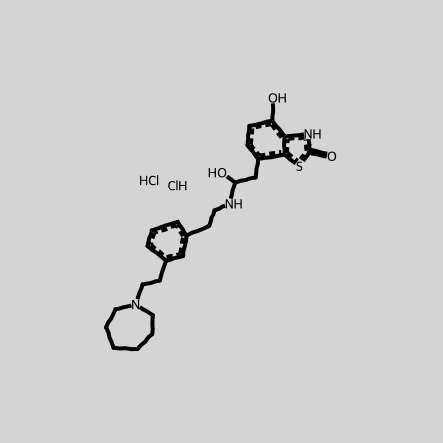 Cl.Cl.O=c1[nH]c2c(O)ccc(CC(O)NCCc3cccc(CCN4CCCCCC4)c3)c2s1